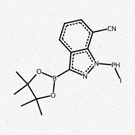 CC1(C)OB(c2nn(PI)c3c(C#N)cccc23)OC1(C)C